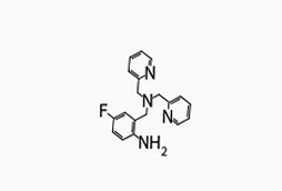 Nc1ccc(F)cc1CN(Cc1ccccn1)Cc1ccccn1